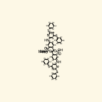 O=S(=O)(O)c1cc(Nc2cc(Sc3ccccc3)nc(Sc3ccccc3)n2)ccc1C=Cc1ccc(Nc2cc(Sc3ccccc3)nc(Sc3ccccc3)n2)cc1S(=O)(=O)O.[NaH].[NaH]